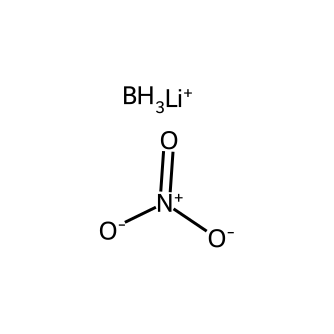 B.O=[N+]([O-])[O-].[Li+]